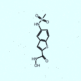 CS(=O)(=O)Nc1ccc2sc(C(=O)NO)cc2c1